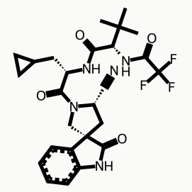 CC(C)(C)[C@H](NC(=O)C(F)(F)F)C(=O)N[C@@H](CC1CC1)C(=O)N1C[C@]2(C[C@H]1C#N)C(=O)Nc1ccccc12